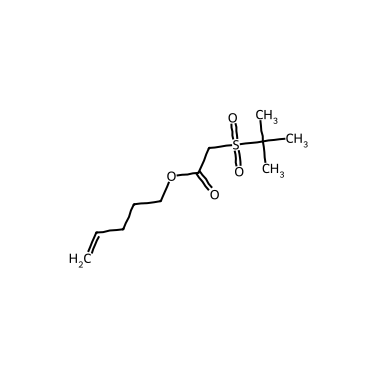 C=CCCCOC(=O)CS(=O)(=O)C(C)(C)C